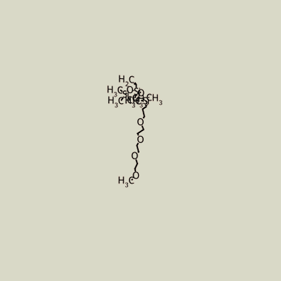 C=C[Si](C)(O[Si](C)(C)C)O[Si](C)(C)CCCOCCOCCOCCOC